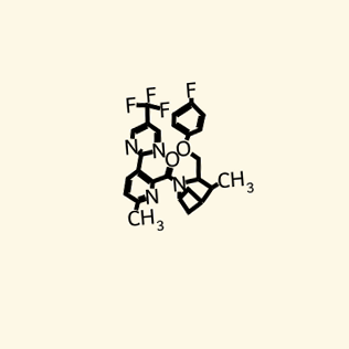 Cc1ccc(-c2ncc(C(F)(F)F)cn2)c(C(=O)N2C3CC(C3)C(C)C2COc2ccc(F)cc2)n1